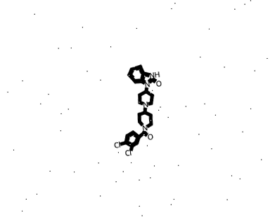 O=C(c1ccc(Cl)c(Cl)c1)N1CCC(N2CCC(n3c(=O)[nH]c4ccccc43)CC2)CC1